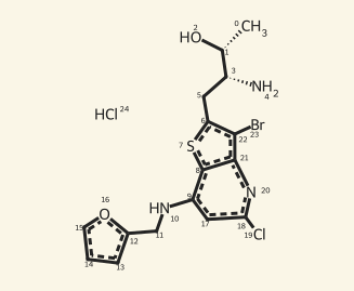 C[C@@H](O)[C@H](N)Cc1sc2c(NCc3ccco3)cc(Cl)nc2c1Br.Cl